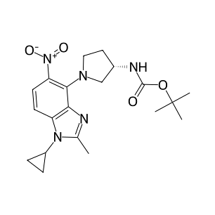 Cc1nc2c(N3CC[C@H](NC(=O)OC(C)(C)C)C3)c([N+](=O)[O-])ccc2n1C1CC1